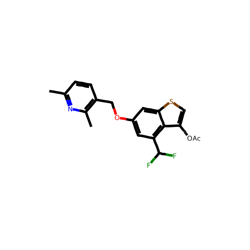 CC(=O)Oc1csc2cc(OCc3ccc(C)nc3C)cc(C(F)F)c12